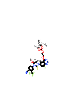 CC(C)(C)OC(=O)OCCOc1ncnc2c(F)cc(N3C(=S)N(c4ccc(C#N)c(C(F)(F)F)c4)C(=O)C3(C)C)cc12